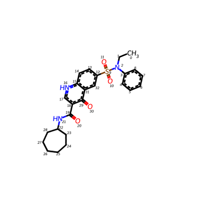 CCN(c1ccccc1)S(=O)(=O)c1ccc2[nH]cc(C(=O)NC3CCCCCC3)c(=O)c2c1